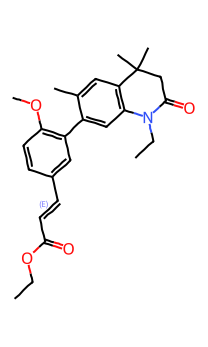 CCOC(=O)/C=C/c1ccc(OC)c(-c2cc3c(cc2C)C(C)(C)CC(=O)N3CC)c1